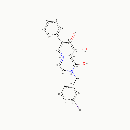 O=c1c(-c2ccccc2)cn2ccn(Cc3cccc(I)c3)c(=O)c2c1O